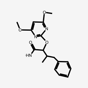 COc1cc(OC)nc(OC(C([NH])=O)C(C)Cc2ccccc2)n1